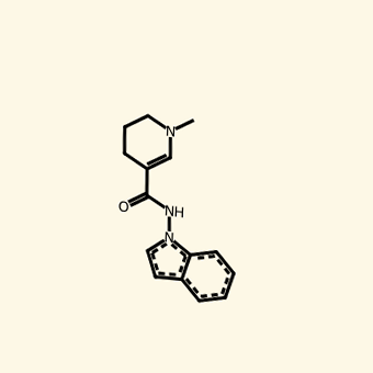 CN1C=C(C(=O)Nn2ccc3ccccc32)CCC1